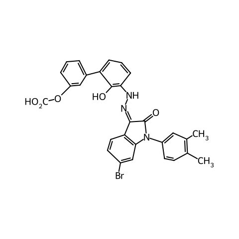 Cc1ccc(N2C(=O)C(=NNc3cccc(-c4cccc(OC(=O)O)c4)c3O)c3ccc(Br)cc32)cc1C